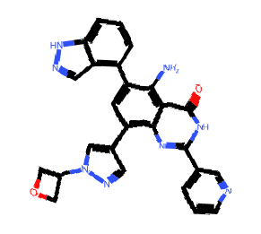 Nc1c(-c2cccc3[nH]ncc23)cc(-c2cnn(C3COC3)c2)c2nc(-c3cccnc3)[nH]c(=O)c12